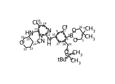 CC1(C)COB(c2c(Cl)cc(Nc3ncc(Cl)c(N[C@@H]4COCC[C@H]4C#N)n3)cc2CO[Si](C)(C)C(C)(C)C)OC1